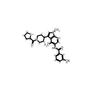 Cn1cc(C2CCN(C(=O)C3CCCS3)CC2)c2c(C(F)(F)F)c(NC(=O)c3cccc(C#N)c3)cnc21